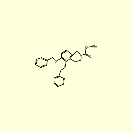 CC(C)(C)OC(=O)N1CCc2c(ccc(OCc3ccccc3)c2OCc2ccccc2)C1